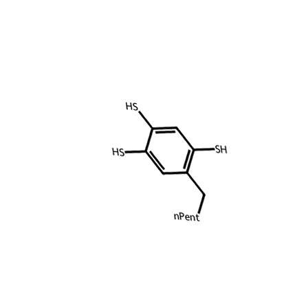 CCCCCCc1cc(S)c(S)cc1S